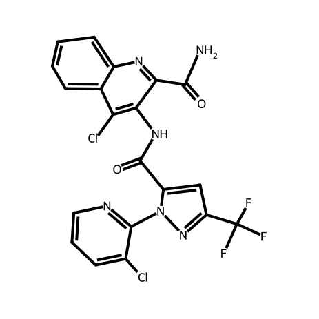 NC(=O)c1nc2ccccc2c(Cl)c1NC(=O)c1cc(C(F)(F)F)nn1-c1ncccc1Cl